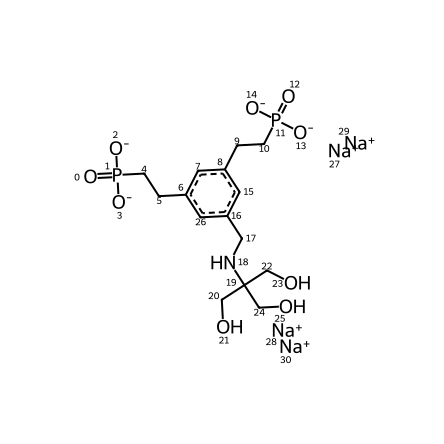 O=P([O-])([O-])CCc1cc(CCP(=O)([O-])[O-])cc(CNC(CO)(CO)CO)c1.[Na+].[Na+].[Na+].[Na+]